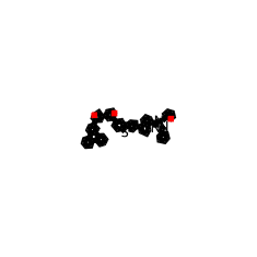 c1ccc(-c2nc(-c3ccccc3)nc(-c3cccc4c(-c5ccc6c(c5)sc5ccc(-c7cccc(-c8cccc(-c9ccc%10c%11ccccc%11c%11ccccc%11c%10c9)c8)c7)cc56)cccc34)n2)cc1